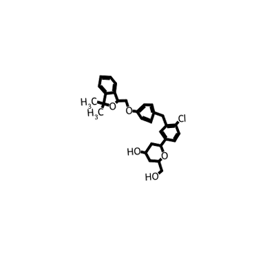 CC1(C)OC(COc2ccc(Cc3cc(C4CC(O)CC(CO)O4)ccc3Cl)cc2)c2ccccc21